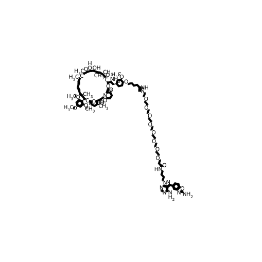 COc1cc(OC)c([C@@H]2C[C@@H]3CC[C@@H](C)[C@@](O)(O3)C(=O)C(=O)N3CCCC[C@H]3C(=O)O[C@H]([C@H](N)C[C@@H]3CC[C@@H](OCCCCc4cn(CCOCCOCCOCCOCCOCCOCCOCCOCCC(=O)NCCCCn5nc(-c6ccc7oc(N)nc7c6)c6c(N)ncnc65)[nH]4)[C@H](OC)C3)CC(=O)[C@H](C)/C=C(\C)[C@@H](O)[C@@H](O)C(=O)[C@H](C)C[C@H](C)/C=C/C=C/C=C/2C)c(OC)c1